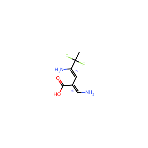 CC(F)(F)/C(N)=C/C(=C\N)C(=O)O